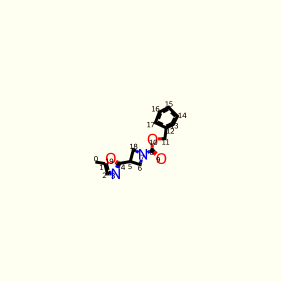 Cc1cnc(C2CN(C(=O)OCc3ccccc3)C2)o1